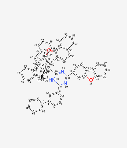 c1ccc(-c2cccc(C3N=C(c4ccc5c(c4)oc4ccccc45)N=C(c4c([C@]56C[C@@H]5c5cc7ccccc7cc5-c5ccccc56)ccc5oc6c7ccccc7ccc6c45)N3)c2)cc1